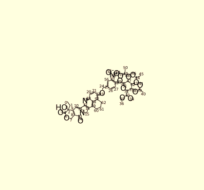 CC[C@@]1(O)C(=O)OCc2c1cc1n(c2=O)Cc2c-1nc1ccc(OCc3ccc(O[C@@H]4OC(C(=O)OC)[C@@H](OC(C)=O)C(OC(C)=O)[C@@H]4OC(C)=O)c([N+](=O)[O-])c3)c3c1c2CCC3